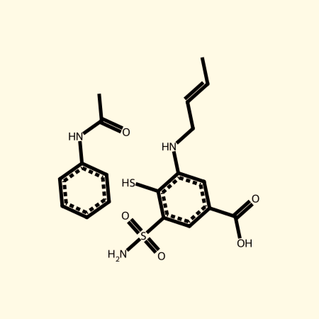 CC(=O)Nc1ccccc1.CC=CCNc1cc(C(=O)O)cc(S(N)(=O)=O)c1S